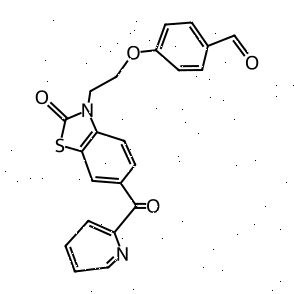 O=Cc1ccc(OCCn2c(=O)sc3cc(C(=O)c4ccccn4)ccc32)cc1